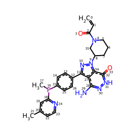 C=CC(=O)N1CCCC(n2nc(-c3ccc(P(C)c4cc(C)ccn4)cc3)c3c(N)n[nH]c(=O)c32)C1